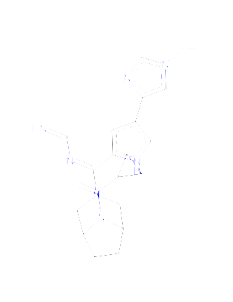 Cn1cnc(-c2c[nH]c(/C(=N\C=N)N3CC4CCC(C3)N4C(=O)C3CC3)c2)c1